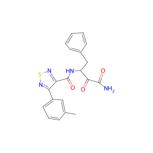 Cc1cccc(-c2nsnc2C(=O)NC(Cc2ccccc2)C(=O)C(N)=O)c1